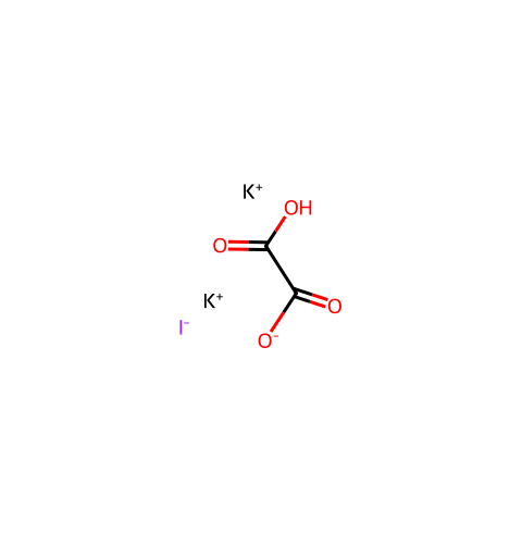 O=C([O-])C(=O)O.[I-].[K+].[K+]